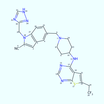 N#Cc1cc2cc(CN3CCC(Nc4ncnc5sc(CC(F)(F)F)cc45)CC3)ccc2n1Cc1nc[nH]n1